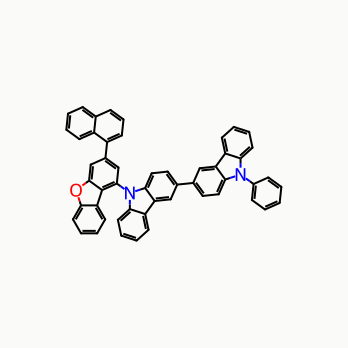 c1ccc(-n2c3ccccc3c3cc(-c4ccc5c(c4)c4ccccc4n5-c4cc(-c5cccc6ccccc56)cc5oc6ccccc6c45)ccc32)cc1